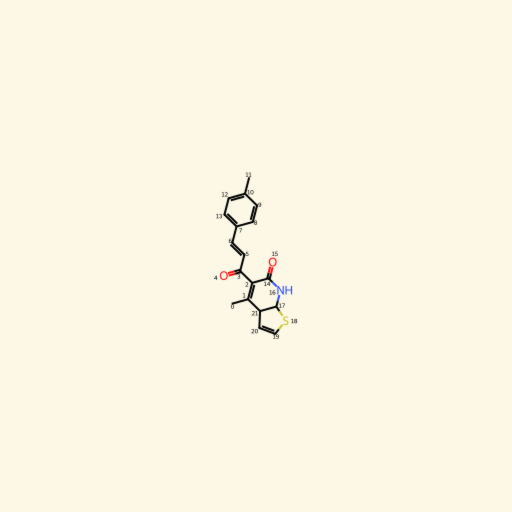 CC1=C(C(=O)C=Cc2ccc(C)cc2)C(=O)NC2SC=CC12